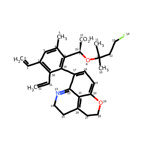 C=Cc1cc(C)c([C@H](OC(C)(C)CCF)C(=O)O)c(-c2ccc3c4c2=NCCC=4CCO3)c1C=C